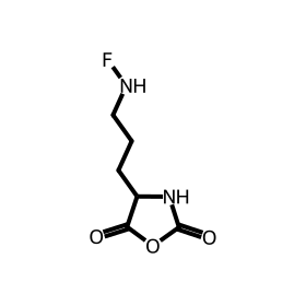 O=C1NC(CCCNF)C(=O)O1